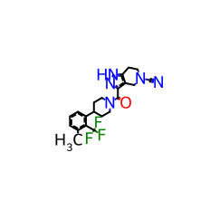 Cc1cccc(C2CCN(C(=O)c3n[nH]c4c3CN(C#N)CC4)CC2)c1C(F)(F)F